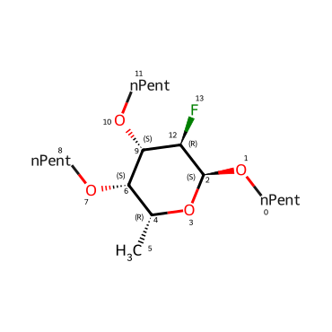 CCCCCO[C@H]1O[C@H](C)[C@H](OCCCCC)[C@H](OCCCCC)[C@H]1F